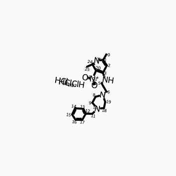 Cc1cc(NCCN2CCN(Cc3ccccc3)CC2)c([N+](=O)[O-])c(C)n1.Cl.Cl.Cl